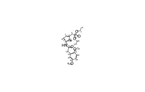 CCOP(=O)(Cc1csc(NC(=O)Cc2cc(OC)ccc2OC)n1)OCC